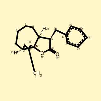 CC1C[C@@H]2CCCC[C@H]3[C@@H](Cc4ccccc4)C(=O)O[C@@]23C1